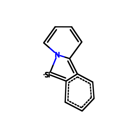 C1=CC2=c3ccccc3=[Si]N2C=C1